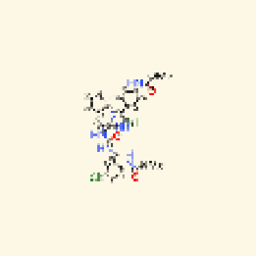 CNC(=O)Nc1ccc(Cl)cc1CNC(=O)NC(Cc1ccccc1)c1nc(-c2ccc(NC(=O)OC)cc2)c(Cl)[nH]1